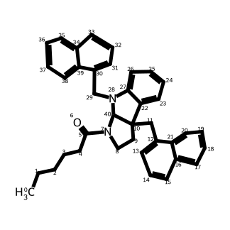 CCCCCC(=O)N1CCC2(Cc3cccc4ccccc34)c3ccccc3N(Cc3cccc4ccccc34)C12